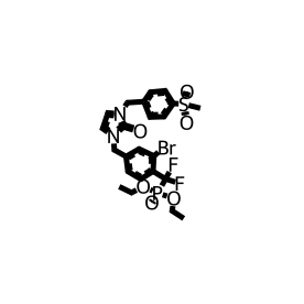 CCOP(=O)(OCC)C(F)(F)c1ccc(Cn2ccn(Cc3ccc(S(C)(=O)=O)cc3)c2=O)cc1Br